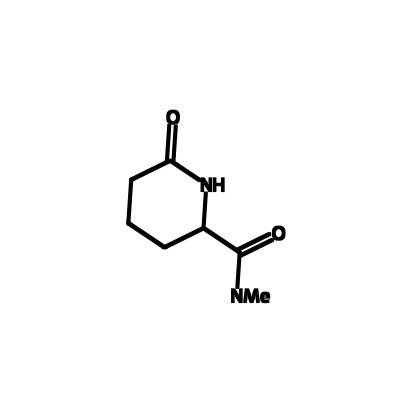 CNC(=O)C1CCCC(=O)N1